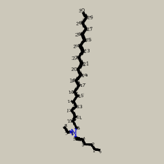 CCCCC=CN(CC)CCCCCCCCCCCCCCCCCCCCCC